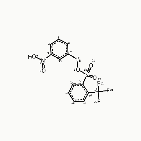 O=[N+](O)c1cccc([I+]OS(=O)(=O)c2ccccc2C(F)(F)F)c1